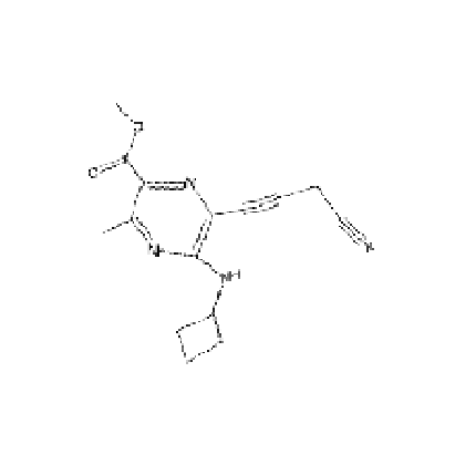 COC(=O)c1nc(C#CCC#N)c(NC2CCC2)nc1C